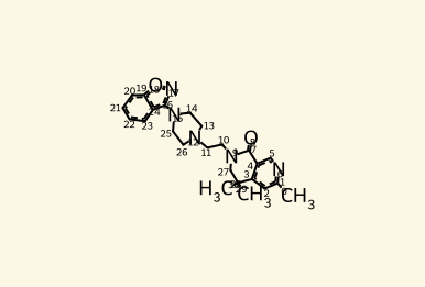 Cc1cc2c(cn1)C(=O)N(CCN1CCN(c3noc4ccccc34)CC1)CC2(C)C